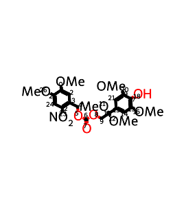 COc1cc(COC(=O)OCC(OC)(OC)c2cc(OC)c(O)c(OC)c2)c([N+](=O)[O-])cc1OC